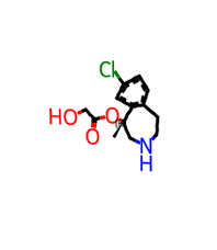 C[C@]1(OC(=O)CO)CNCCc2ccc(Cl)cc21